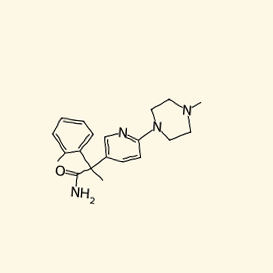 Cc1ccccc1C(C)(C(N)=O)c1ccc(N2CCN(C)CC2)nc1